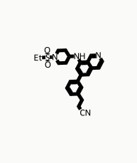 CCS(=O)(=O)N1CCC(Nc2cc(-c3cccc(CCC#N)c3)cc3ccncc23)CC1